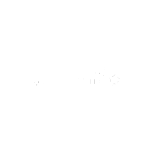 CCc1ccc(C(C)(C)OCCOCCOCCOC)s1